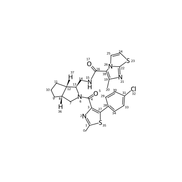 Cc1nc(C(=O)N2C[C@@H]3CCC[C@@H]3[C@H]2CNC(=O)c2c(C)nc3sccn23)c(-c2ccc(Cl)cc2)s1